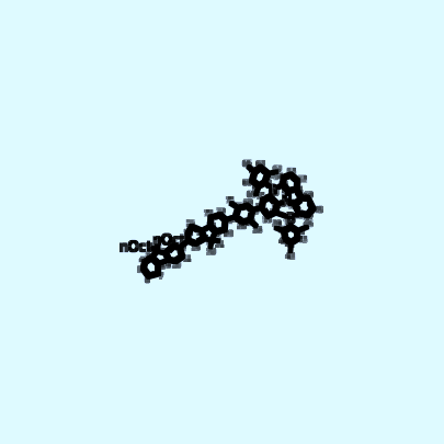 CCCCCCCCC1(CCCCCCCC)c2ccccc2-c2ccc(-c3ccc4c(c3)C(C)(C)c3cc(-c5cc(C)c(-c6cc7c8c(c6)B(c6c(C)cc(C)cc6C)c6cccc9c%10cccc(c%10n-8c69)B7c6c(C)cc(C)cc6C)cc5C)ccc3-4)cc21